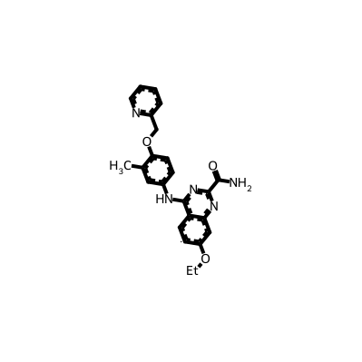 CCOc1[c]cc2c(Nc3ccc(OCc4ccccn4)c(C)c3)nc(C(N)=O)nc2c1